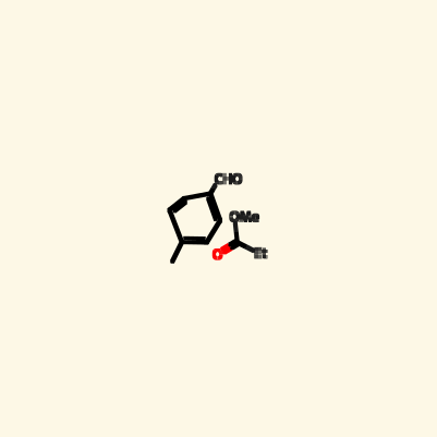 CCC(=O)OC.Cc1ccc(C=O)cc1